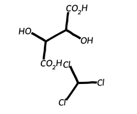 ClC(Cl)Cl.O=C(O)C(O)C(O)C(=O)O